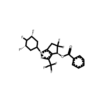 O=C(O[C@H]1c2c(C(F)(F)F)nn(C3C[C@@H](F)C(F)[C@@H](F)C3)c2CC1(F)F)c1ccccc1